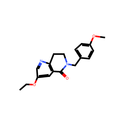 CCOc1cnc2c(c1)C(=O)N(Cc1ccc(OC)cc1)CC2